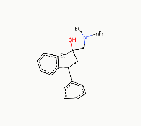 CCCN(CC)CC(O)(CC)CC(c1ccccc1)c1ccccc1